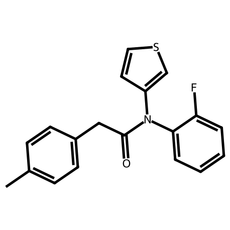 Cc1ccc(CC(=O)N(c2ccsc2)c2ccccc2F)cc1